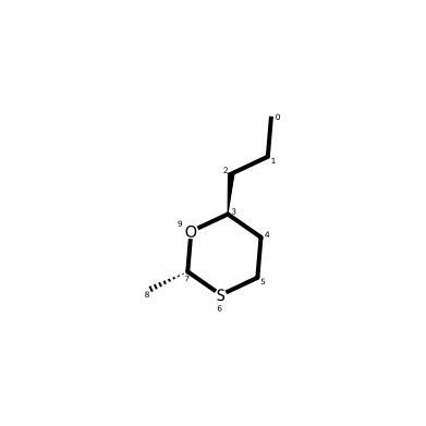 CCC[C@H]1CCS[C@H](C)O1